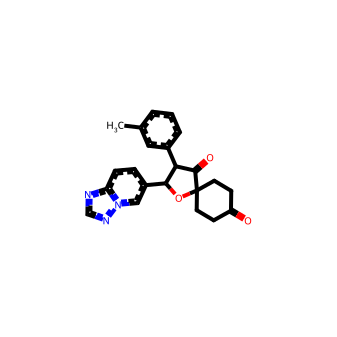 Cc1cccc(C2C(=O)C3(CCC(=O)CC3)OC2c2ccc3ncnn3c2)c1